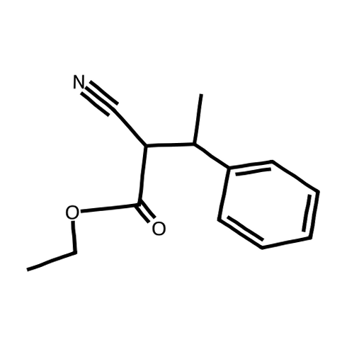 CCOC(=O)C(C#N)C(C)c1ccccc1